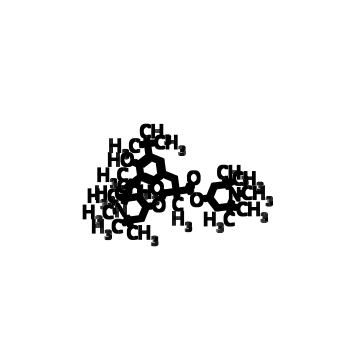 CN1C(C)(C)CC(OC(=O)C(C)(Cc2cc(C(C)(C)C)c(O)c(C(C)(C)C)c2)C(=O)OC2CC(C)(C)N(C)C(C)(C)C2)CC1(C)C